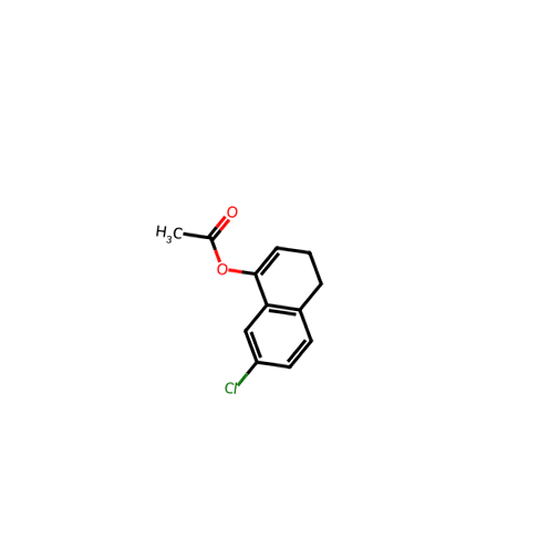 CC(=O)OC1=CCCc2ccc(Cl)cc21